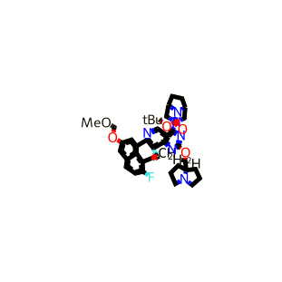 [2H]C([2H])(Oc1nc(N2CC3CCC(C2)N3C(=O)OC(C)(C)C)c2cnc(-c3cc(OCOC)cc4ccc(F)c(C#C)c34)c(F)c2n1)C12CCCN1CCC2